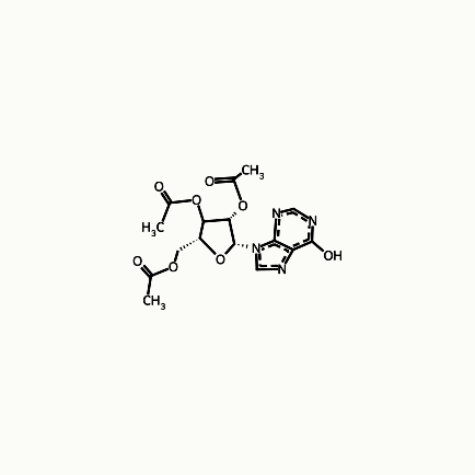 CC(=O)OC[C@H]1O[C@@H](n2cnc3c(O)ncnc32)[C@@H](OC(C)=O)C1OC(C)=O